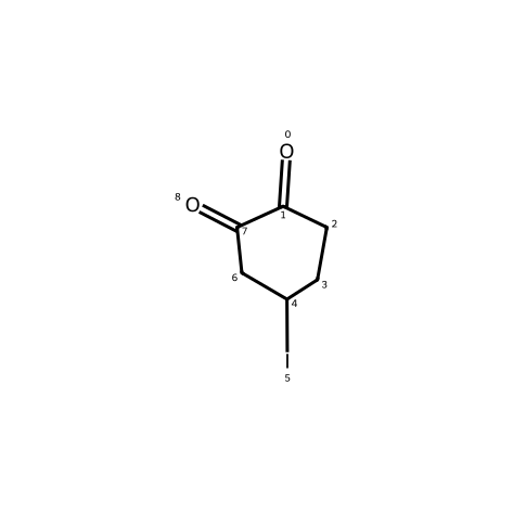 O=C1CCC(I)CC1=O